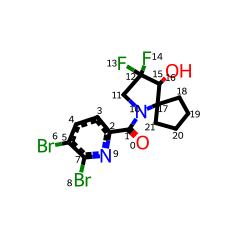 O=C(c1ccc(Br)c(Br)n1)N1CC(F)(F)C(O)C12CCCC2